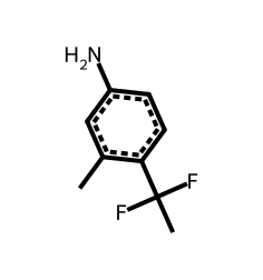 Cc1cc(N)ccc1C(C)(F)F